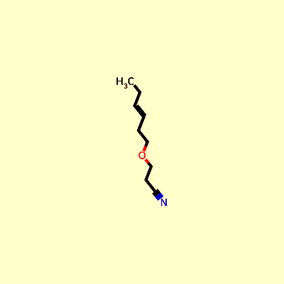 CCC=CCCOCCC#N